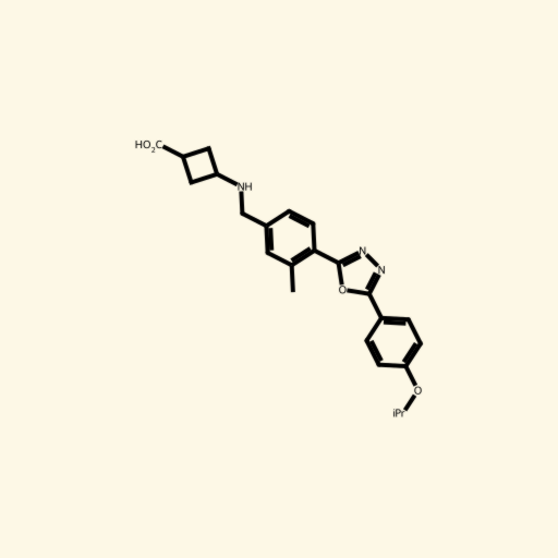 Cc1cc(CNC2CC(C(=O)O)C2)ccc1-c1nnc(-c2ccc(OC(C)C)cc2)o1